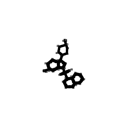 CCN1CCN(c2cn(S(=O)(=O)c3cccc4ccccc34)c3cc(Cl)ccc23)CC1